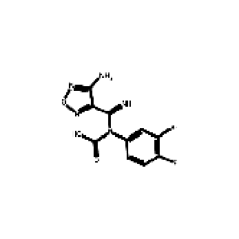 N=C(c1nonc1N)N(C(=O)O)c1ccc(F)c(Br)c1